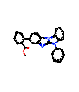 COC(=O)c1ccccc1-c1ccc2c(c1)nc1n(-c3ccccc3)c3ccccc3n21